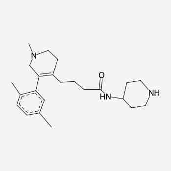 Cc1ccc(C)c(C2=C(CCCC(=O)NC3CCNCC3)CCN(C)C2)c1